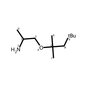 CC(N)COC(C)(C)CC(C)(C)C